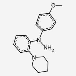 COc1ccc(N(N)c2ccccc2N2CCCCC2)cc1